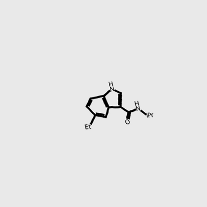 CCc1ccc2[nH]cc(C(=O)NC(C)C)c2c1